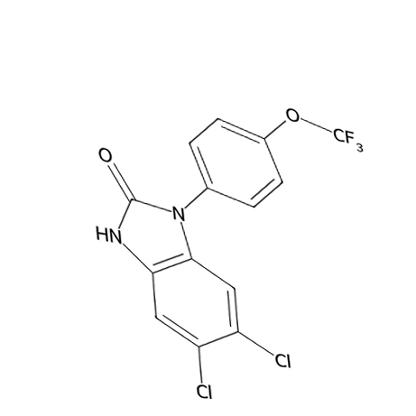 O=c1[nH]c2cc(Cl)c(Cl)cc2n1-c1ccc(OC(F)(F)F)cc1